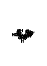 CC(C)(C)[C@H](OCc1cn([C@H]2CC(O)[C@@H](CO)O2)c(=O)[nH]c1=O)c1ccccc1[N+](=O)[O-]